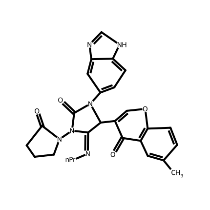 CCCN=C1C(c2coc3ccc(C)cc3c2=O)N(c2ccc3[nH]cnc3c2)C(=O)N1N1CCCC1=O